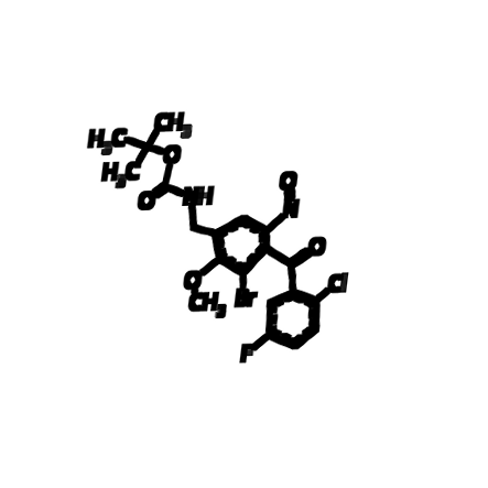 COc1c(CNC(=O)OC(C)(C)C)cc(N=O)c(C(=O)c2cc(F)ccc2Cl)c1Br